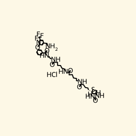 Cl.NCc1cc(Oc2cccc(C(=O)NCCNC(=O)CCCCCNC(=O)CCCCCNC(=O)CCCC[C@@H]3SC[C@@H]4NC(=O)N[C@@H]43)c2)nc(C(F)(F)F)c1